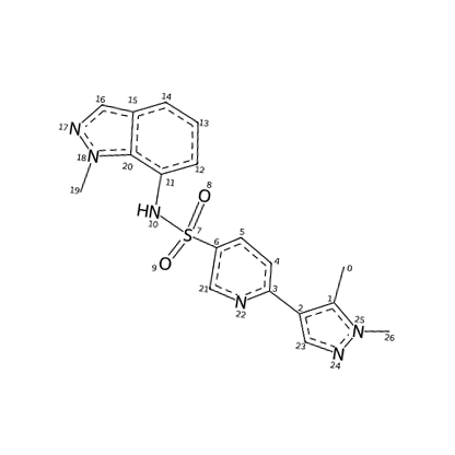 Cc1c(-c2ccc(S(=O)(=O)Nc3cccc4cnn(C)c34)cn2)cnn1C